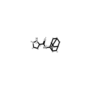 O=C(NC1C2CC3CC(C2)CC1C3)C1CCSN1